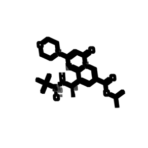 CC(C)OC(=O)c1cc([C@@H](C)N[S@+]([O-])C(C)(C)C)c2nc(N3CCOCC3)cc(=O)n2c1